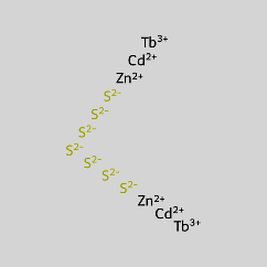 [Cd+2].[Cd+2].[S-2].[S-2].[S-2].[S-2].[S-2].[S-2].[S-2].[Tb+3].[Tb+3].[Zn+2].[Zn+2]